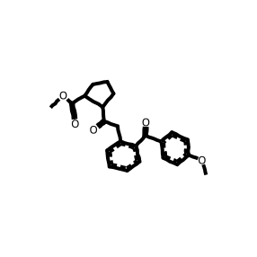 COC(=O)C1CCCC1C(=O)Cc1ccccc1C(=O)c1ccc(OC)cc1